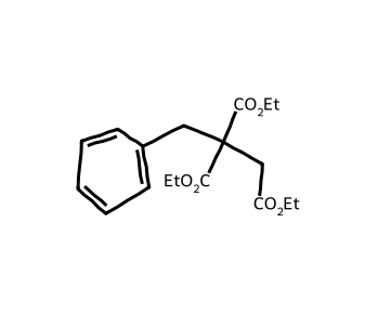 CCOC(=O)CC(Cc1ccccc1)(C(=O)OCC)C(=O)OCC